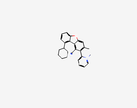 Cc1cc2oc3cccc(C4CCCCC4)c3c2c(C#N)c1-c1cccc[n+]1C